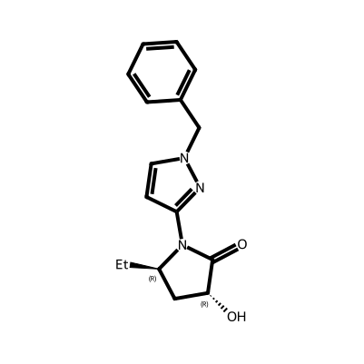 CC[C@@H]1C[C@@H](O)C(=O)N1c1ccn(Cc2ccccc2)n1